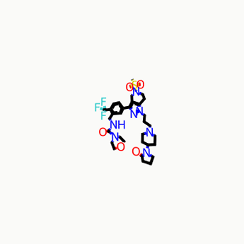 CS(=O)(=O)N1CCc2c(c(-c3ccc(C(F)(F)F)c(CNC(=O)N4CCOCC4)c3)nn2CCCN2CCC(N3CCCC3=O)CC2)C1